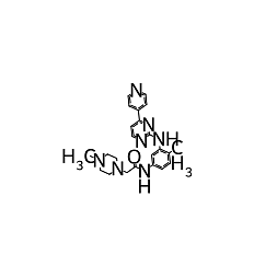 Cc1ccc(NC(=O)CN2CCN(C)CC2)cc1Nc1nccc(-c2ccncc2)n1